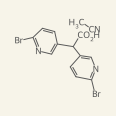 CC#N.O=C(O)C(c1ccc(Br)nc1)c1ccc(Br)nc1